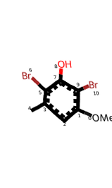 COc1cc(C)c(Br)c(O)c1Br